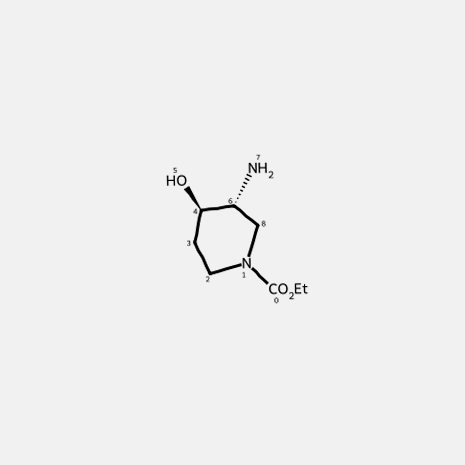 CCOC(=O)N1CC[C@@H](O)[C@H](N)C1